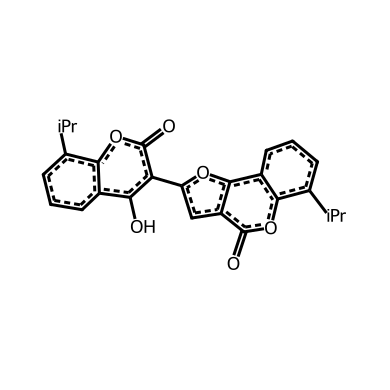 CC(C)c1cccc2c(O)c(-c3cc4c(=O)oc5c(C(C)C)cccc5c4o3)c(=O)oc12